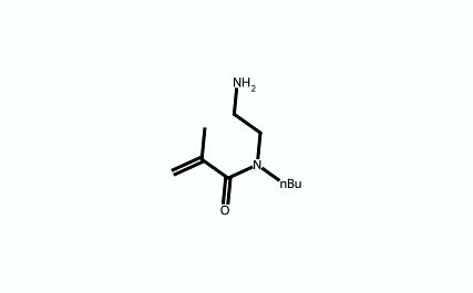 C=C(C)C(=O)N(CCN)CCCC